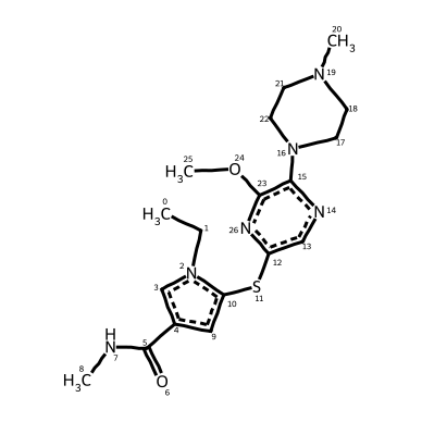 CCn1cc(C(=O)NC)cc1Sc1cnc(N2CCN(C)CC2)c(OC)n1